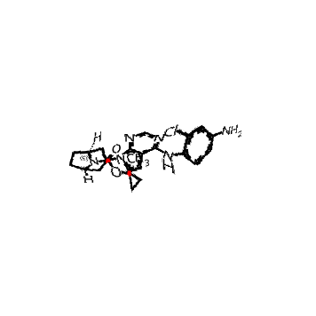 CC1(OC(=O)N2[C@H]3CC[C@H]2CC(n2ccc4c(Nc5ccc(N)cc5Cl)ncnc42)C3)CC1